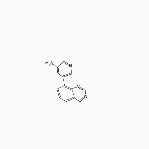 Nc1cncc(-c2cccc3cncnc23)c1